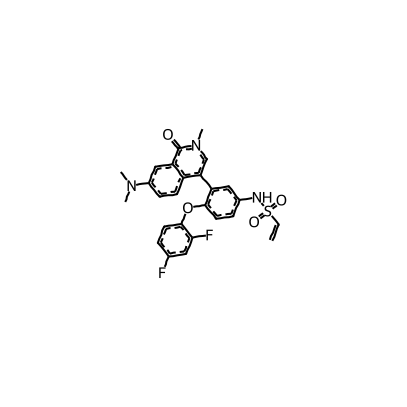 C=CS(=O)(=O)Nc1ccc(Oc2ccc(F)cc2F)c(-c2cn(C)c(=O)c3cc(N(C)C)ccc23)c1